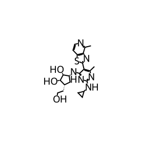 Cc1nc(NC2CC2)nc(N[C@@H]2C[C@H](CCO)[C@@H](O)[C@H]2O)c1-c1nc2c(C)nccc2s1